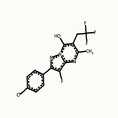 Cc1nc2c(F)c(-c3ccc(Cl)cc3)nn2c(O)c1CC(F)(F)F